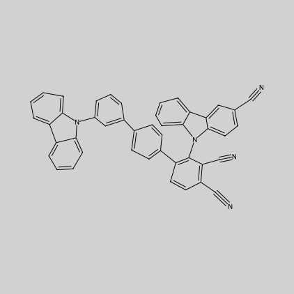 N#Cc1ccc2c(c1)c1ccccc1n2-c1c(-c2ccc(-c3cccc(-n4c5ccccc5c5ccccc54)c3)cc2)ccc(C#N)c1C#N